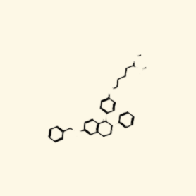 COC(CCCCOc1ccc([C@@H]2c3ccc(OCc4ccccc4)cc3CC[C@@H]2c2ccccc2)cc1)OC